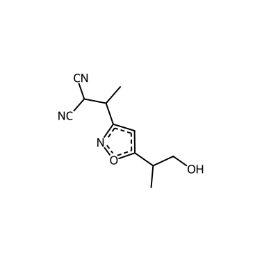 CC(CO)c1cc(C(C)C(C#N)C#N)no1